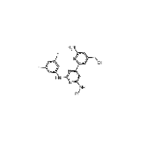 CC(C)Nc1nc(Nc2cc(F)cc(F)c2)nc(-c2cc(CO)cc(N)n2)n1